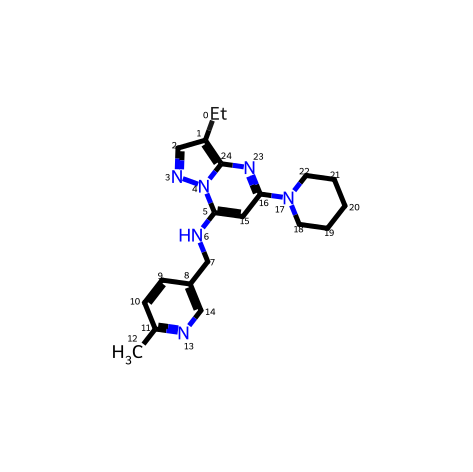 CCc1cnn2c(NCc3ccc(C)nc3)cc(N3CCCCC3)nc12